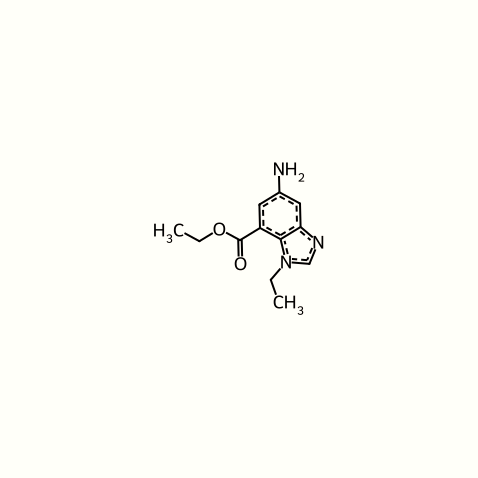 CCOC(=O)c1cc(N)cc2ncn(CC)c12